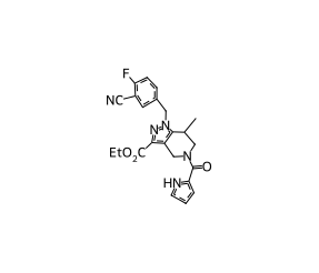 CCOC(=O)c1nn(Cc2ccc(F)c(C#N)c2)c2c1CN(C(=O)c1ccc[nH]1)CC2C